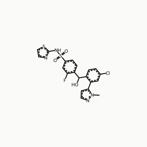 Cn1nccc1-c1cc(Cl)ccc1C(O)c1ccc(S(=O)(=O)Nc2nccs2)cc1F